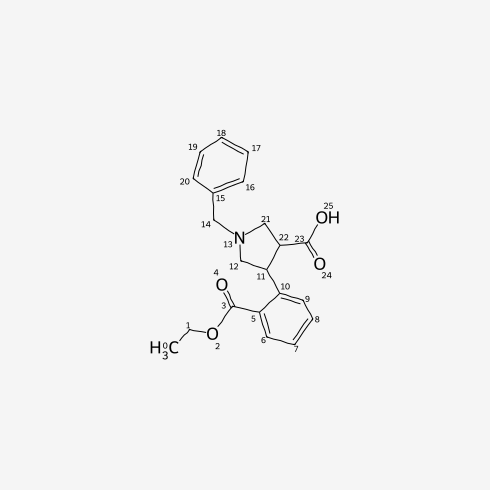 CCOC(=O)c1ccccc1C1CN(Cc2ccccc2)CC1C(=O)O